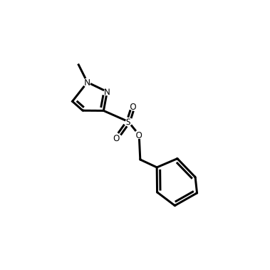 Cn1ccc(S(=O)(=O)OCc2ccccc2)n1